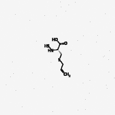 C=CCSC[C@H](NS)C(=O)O